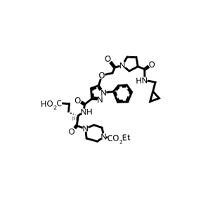 CCOC(=O)N1CCN(C(=O)[C@H](CCC(=O)O)NC(=O)c2cc(OCC(=O)N3CCC(C(=O)NCC4CC4)C3)n(-c3ccccc3)n2)CC1